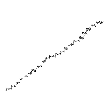 N=N/N=N/N=N/N=N/N=N/N=N/N=N/N=N/N=N/N=N/N=N/N=N/N=N/N=N/N=N/N=N/N=N/N=N/N=N/N=N/N=N